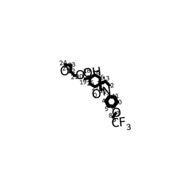 O=C1N(c2ccc(OCC(F)(F)F)cc2)CCC12CCC(O)(COCC1CCO1)CC2